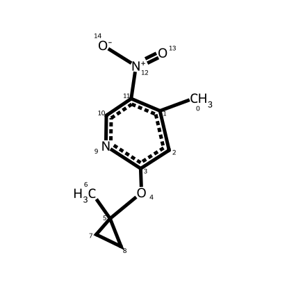 Cc1cc(OC2(C)CC2)ncc1[N+](=O)[O-]